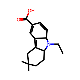 CCN1C2C=CC(C(=O)O)=CC2=C2CC(C)(C)CCC21